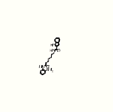 Nc1ccccc1NC(=O)CCCCCCNC(=O)c1cc2ccccc2[nH]1